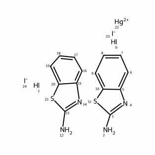 I.I.Nc1nc2ccccc2s1.Nc1nc2ccccc2s1.[Hg+2].[I-].[I-]